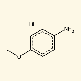 COc1ccc(N)cc1.[LiH]